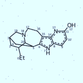 CCC1CC2CC3c4[nH]c5ccc(O)nc5c4CCN(C2)C13